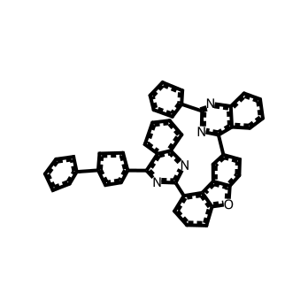 c1ccc(-c2ccc(-c3nc(-c4cccc5oc6ccc(-c7nc(-c8ccccc8)nc8ccccc78)cc6c45)nc4ccccc34)cc2)cc1